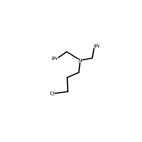 CC(C)CN(CCCCl)CC(C)C